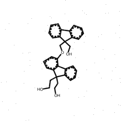 OCCC1(CCO)c2ccccc2-c2c(OCC3(CO)c4ccccc4-c4ccccc43)cccc21